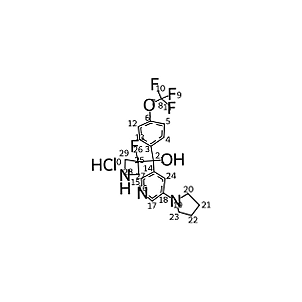 Cl.OC(c1ccc(OC(F)(F)F)cc1)(c1cncc(N2CCCC2)c1)C1(F)CNC1